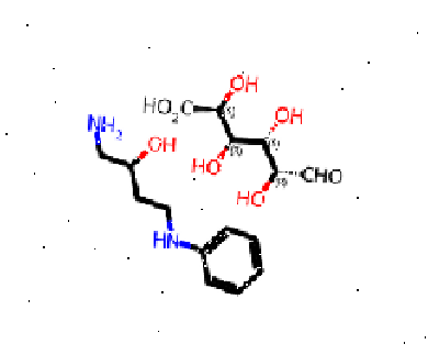 NCC(O)CCNc1ccccc1.O=C[C@H](O)[C@@H](O)[C@@H](O)[C@H](O)C(=O)O